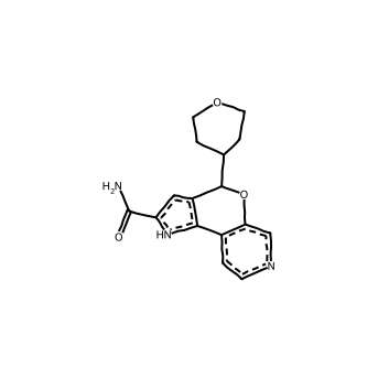 NC(=O)c1cc2c([nH]1)-c1ccncc1OC2C1CCOCC1